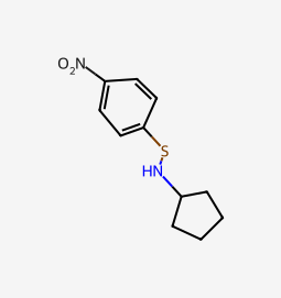 O=[N+]([O-])c1ccc(SNC2CCCC2)cc1